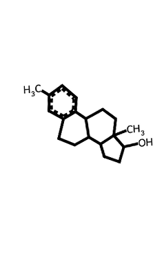 Cc1ccc2c(c1)CCC1C2CCC2(C)C(O)CCC12